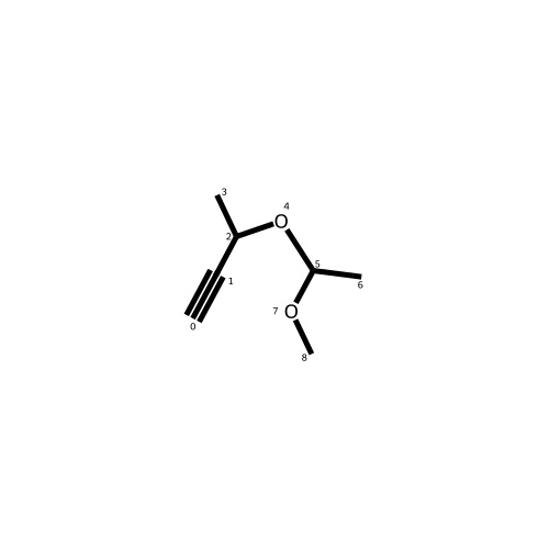 C#CC(C)OC(C)OC